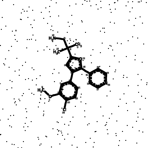 COc1cc(-c2cc(C(C)(C)CN)oc2-c2ccncc2)ccc1Cl